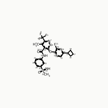 Cc1c(C(F)(F)F)nnc(Oc2ncc(C3CCC3)nc2F)c1C(=O)Nc1cccc(S(C)(=N)=O)c1